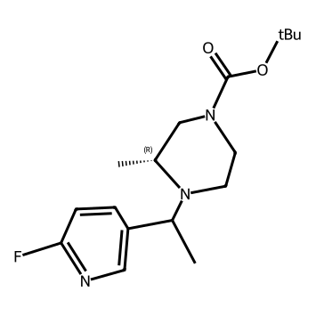 CC(c1ccc(F)nc1)N1CCN(C(=O)OC(C)(C)C)C[C@H]1C